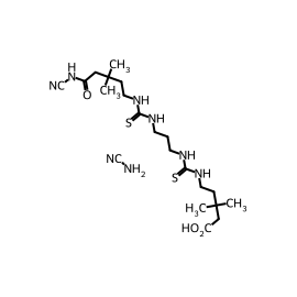 CC(C)(CCNC(=S)NCCCNC(=S)NCCC(C)(C)CC(=O)NC#N)CC(=O)O.N#CN